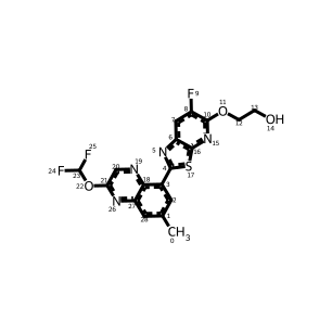 Cc1cc(-c2nc3cc(F)c(OCCO)nc3s2)c2ncc(OC(F)F)nc2c1